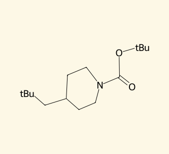 CC(C)(C)CC1CCN(C(=O)OC(C)(C)C)CC1